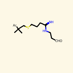 CC(=O)C(C)(C)CSCCCC(=N)NCCC=O